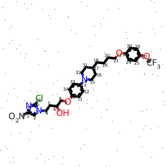 O=[N+]([O-])c1cn(CCC(O)COc2ccc(N3CCC(CCCCOc4ccc(OC(F)(F)F)cc4)CC3)cc2)c(Cl)n1